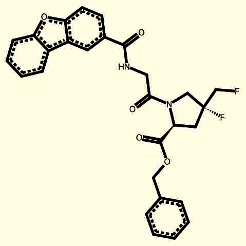 O=C(NCC(=O)N1C[C@@](F)(CF)C[C@H]1C(=O)OCc1ccccc1)c1ccc2oc3ccccc3c2c1